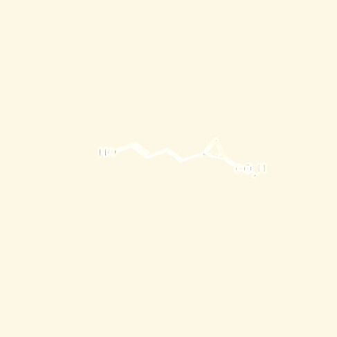 O=C(O)C1CC1CCC=CO